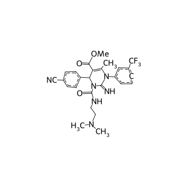 COC(=O)C1=C(C)N(c2cccc(C(F)(F)F)c2)C(=N)N(C(=O)NCCN(C)C)C1c1ccc(C#N)cc1